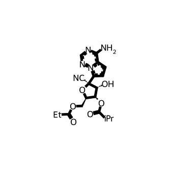 CCC(=O)OC[C@H]1O[C@@](C#N)(c2ccc3c(N)ncnn23)[C@H](O)[C@@H]1OC(=O)C(C)C